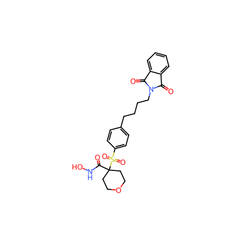 O=C1c2ccccc2C(=O)N1CCCCc1ccc(S(=O)(=O)C2(C(=O)NO)CCOCC2)cc1